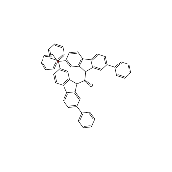 O=C(C1c2cc(-c3ccccc3)ccc2-c2ccc(-c3ccccc3)cc21)C1c2cc(-c3ccccc3)ccc2-c2ccc(-c3ccccc3)cc21